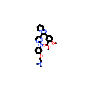 COC(=O)c1cc(-c2nc3ccccn3c2-c2ccnc(Nc3cccc(OCCN(C)C)c3)n2)ccc1OC